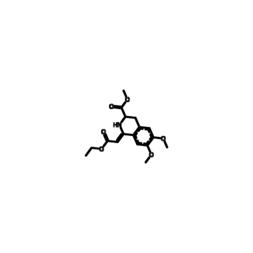 CCOC(=O)C=C1NC(C(=O)OC)Cc2cc(OC)c(OC)cc21